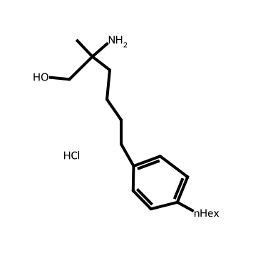 CCCCCCc1ccc(CCCCC(C)(N)CO)cc1.Cl